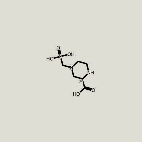 O=C(O)[C@H]1CN(CP(=O)(O)O)CCN1